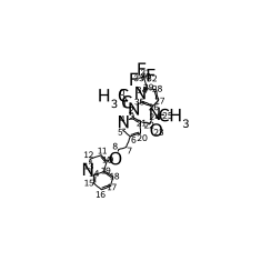 CCN1c2ncc(CCOc3ccnc4ccccc34)cc2C(=O)N(C)c2ccc(C(F)(F)F)nc21